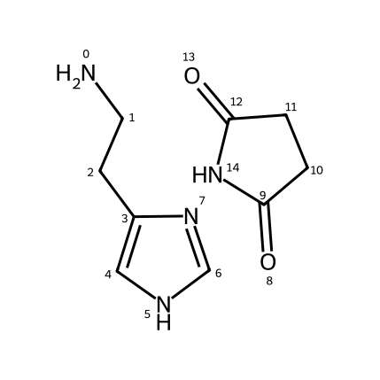 NCCc1c[nH]cn1.O=C1CCC(=O)N1